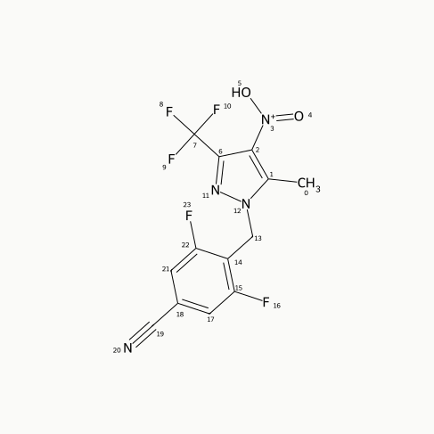 Cc1c([N+](=O)O)c(C(F)(F)F)nn1Cc1c(F)cc(C#N)cc1F